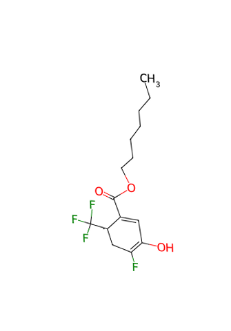 CCCCCCCOC(=O)C1=CC(O)=C(F)C[C]1C(F)(F)F